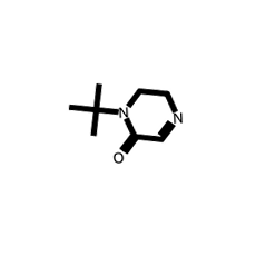 CC(C)(C)N1CCN=CC1=O